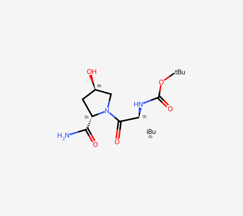 CC[C@H](C)[C@H](NC(=O)OC(C)(C)C)C(=O)N1C[C@H](O)C[C@H]1C(N)=O